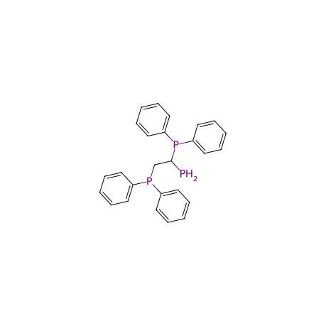 PC(CP(c1ccccc1)c1ccccc1)P(c1ccccc1)c1ccccc1